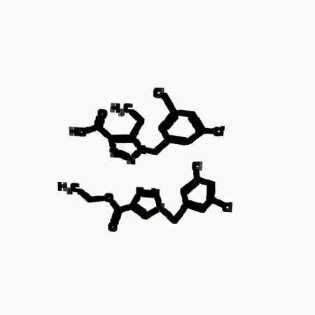 CCOC(=O)c1cn(Cc2cc(Cl)cc(Cl)c2)nn1.CCc1c(C(=O)O)nnn1Cc1cc(Cl)cc(Cl)c1